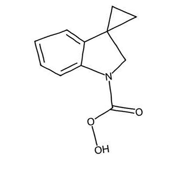 O=C(OO)N1CC2(CC2)c2ccccc21